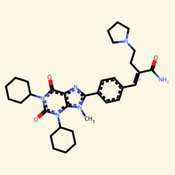 Cn1c(-c2ccc(/C=C(\CCN3CCCC3)C(N)=O)cc2)nc2c(=O)n(C3CCCCC3)c(=O)n(C3CCCCC3)c21